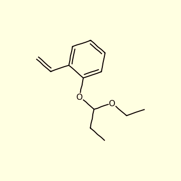 C=Cc1ccccc1OC(CC)OCC